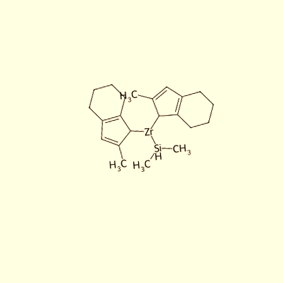 CC1=CC2=C(CCCC2)[CH]1[Zr]([CH]1C(C)=CC2=C1CCCC2)[SiH](C)C